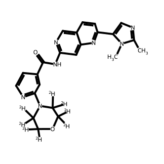 [2H]C1([2H])OC([2H])([2H])C([2H])([2H])N(c2cc(C(=O)Nc3cc4nc(-c5cnc(C)n5C)ccc4cn3)ccn2)C1([2H])[2H]